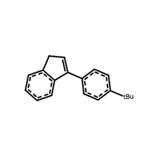 CC(C)(C)c1ccc(C2=CCc3ccccc32)cc1